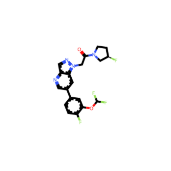 O=C(Cn1ncc2ncc(-c3ccc(F)c(OC(F)F)c3)cc21)N1CC[C@@H](F)C1